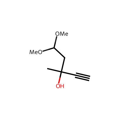 C#CC(C)(O)CC(OC)OC